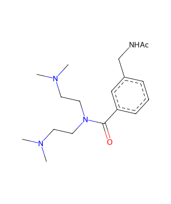 CC(=O)NCc1cccc(C(=O)N(CCN(C)C)CCN(C)C)c1